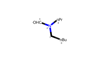 CCCCCN([C]=O)CCC